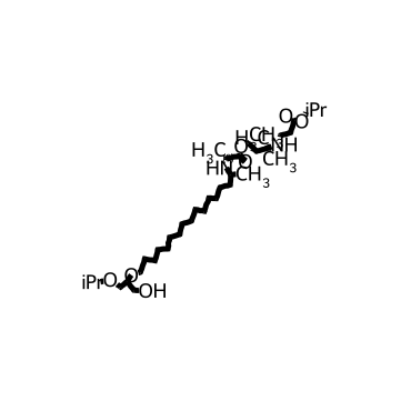 CC(CCCCCCCCCCCCCCCOC(CO)COC(C)C)N[C@@H](C)C(=O)OC(C)CC(C)(C)NCCC(=O)OC(C)C